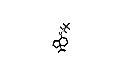 C=C(C)[C@@]12CCCC1[C@@H](O[Si](C)(C)C(C)(C)C)CCC2